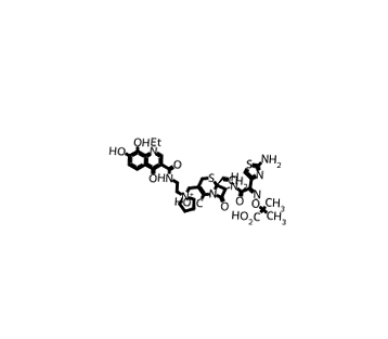 C=C[C@]12SCC(C[N+]3(CCNC(=O)c4cn(CC)c5c(O)c(O)ccc5c4=O)CCCC3)=C(C(=O)O)N1C(=O)[C@H]2NC(=O)/C(=N\OC(C)(C)C(=O)O)c1csc(N)n1